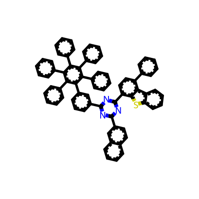 c1ccc(-c2c(-c3ccccc3)c(-c3ccccc3)c(-c3cccc(-c4nc(-c5ccc6ccccc6c5)nc(-c5ccc(-c6ccccc6)c6c5sc5ccccc56)n4)c3)c(-c3ccccc3)c2-c2ccccc2)cc1